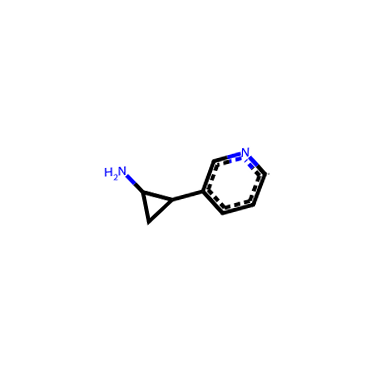 NC1CC1c1cc[c]nc1